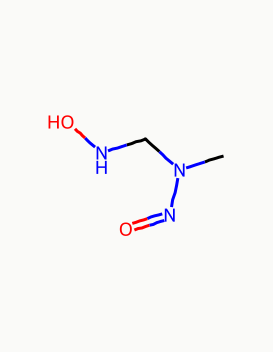 CN(CNO)N=O